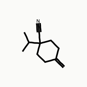 C=C1CCC(C#N)(C(C)C)CC1